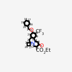 CCOC(=O)c1cn2c(cc1=O)-c1cc(C(F)(F)F)c(OCc3ccccc3)cc1CC21CCC1